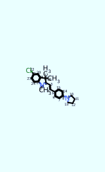 C[N+]1=C(/C=C/c2ccc(N3CCCC3)cc2)C(C)(C)c2cc(Cl)ccc21